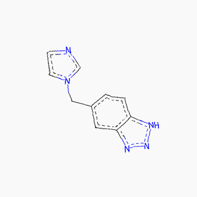 c1cn(Cc2ccc3[nH]nnc3c2)cn1